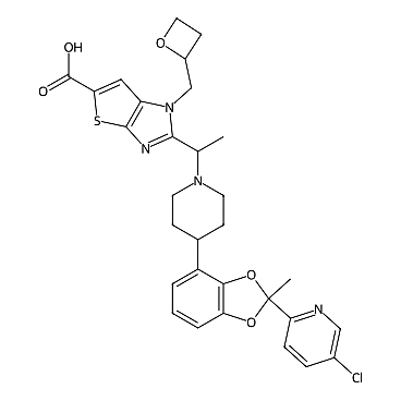 CC(c1nc2sc(C(=O)O)cc2n1CC1CCO1)N1CCC(c2cccc3c2OC(C)(c2ccc(Cl)cn2)O3)CC1